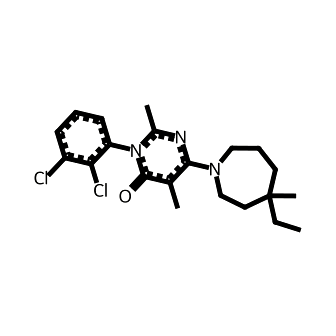 CCC1(C)CCCN(c2nc(C)n(-c3cccc(Cl)c3Cl)c(=O)c2C)CC1